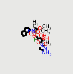 CC(C)OC(=O)[C@H](C)NP(=S)(OC[C@@]1(F)O[C@@H](n2ccc(N)nc2=O)[C@](C)(O)[C@@H]1O)Oc1cccc2ccccc12